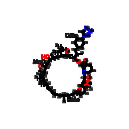 [2H]C([2H])([2H])[C@@H]1/C=C(\C)[C@@H](O)[C@@H](OC)C(=O)[C@H](C)C([2H])(C)[C@]([2H])(C)/C=C/C=C/C=C(\C)[C@@H](OC)C[C@@H]2CC[C@@H](C)[C@@](O)(O2)C(=O)C(=O)N2CCCC[C@H]2C(=O)O[C@H]([C@H](C)C[C@@H]2CC[C@H](n3cnnn3)[C@H](OC)C2)CC1=O